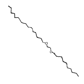 CCCCCCCCCCCCCCCOCCOCCCCCCCCCC